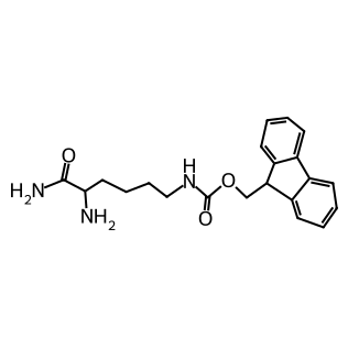 NC(=O)C(N)CCCCNC(=O)OCC1c2ccccc2-c2ccccc21